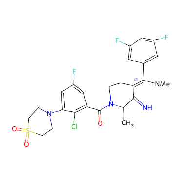 CN/C(=C1/CCN(C(=O)c2cc(F)cc(N3CCS(=O)(=O)CC3)c2Cl)C(C)C1=N)c1cc(F)cc(F)c1